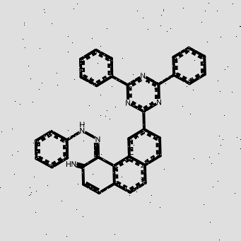 N=C1C=Cc2ccc3ccc(-c4nc(-c5ccccc5)nc(-c5ccccc5)n4)cc3c2/C1=N/Nc1ccccc1